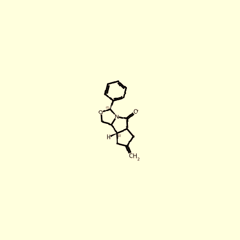 C=C1CC2C(=O)N3C(CO[C@H]3c3ccccc3)[C@H]2C1